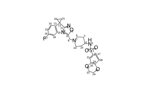 O=S(=O)(NC1CCN(Cc2nc(C3(c4ccc(F)cc4)CC3)no2)CC1)c1ccc2c(c1)OCCO2